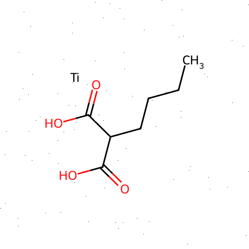 CCCCC(C(=O)O)C(=O)O.[Ti]